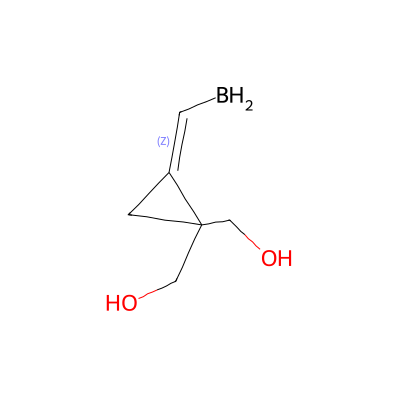 B/C=C1/CC1(CO)CO